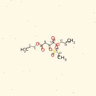 C=CCOC(=O)CC(OS(=O)(=O)CC)C(=O)OCC=C